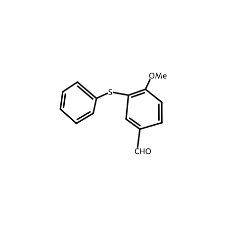 COc1ccc(C=O)cc1Sc1ccccc1